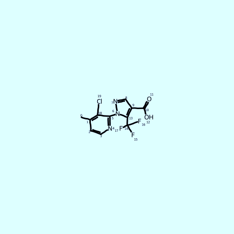 Cc1ccnc(-n2ncc(C(=O)O)c2C(F)(F)F)c1Cl